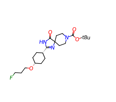 CC(C)(C)OC(=O)N1CCC2(CC1)N=C([C@H]1CC[C@@H](OCCCF)CC1)NC2=O